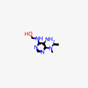 C=CN(C)c1ncnc(NCO)c1N